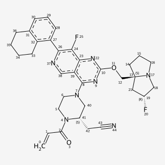 C=CC(=O)N1CCN(c2nc(OC[C@@]34CCCN3C[C@H](F)C4)nc3c(F)c(-c4cccc5c4CCCC5)ncc23)C[C@@H]1CC#N